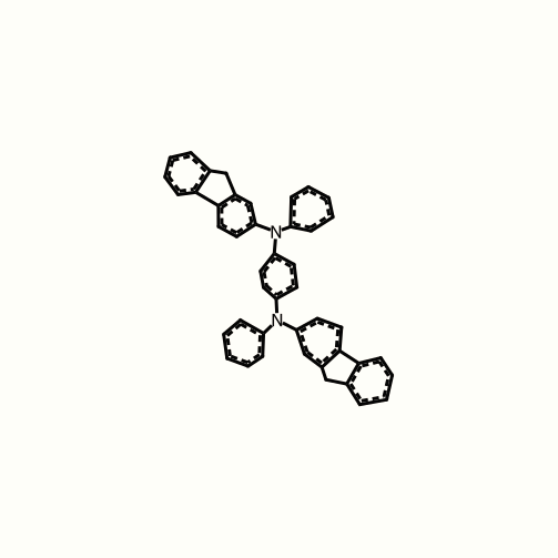 c1ccc(N(c2ccc(N(c3ccccc3)c3ccc4c(c3)Cc3ccccc3-4)cc2)c2ccc3c(c2)Cc2ccccc2-3)cc1